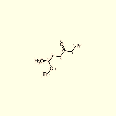 C=C(CCC(=O)CC(C)C)OC(C)C